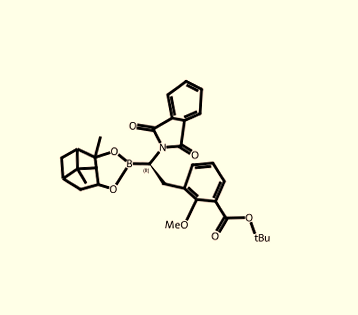 COc1c(C[C@@H](B2OC3CC4CC(C4(C)C)C3(C)O2)N2C(=O)c3ccccc3C2=O)cccc1C(=O)OC(C)(C)C